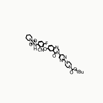 CC(C)(C)OC(=O)N1CCN(c2ncc(-n3cnc4ccc(Oc5c(F)ccc(NS(=O)(=O)N6CCCCC6)c5C#N)cc4c3=O)cn2)CC1